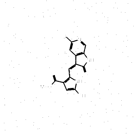 COC(=O)c1cc(C)[nH]c1/C=C1\C(=O)Nc2cnc(Cl)cc21